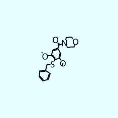 COc1cc(C(=O)N2CCOCC2)cc(OC)c1SCc1ccccc1